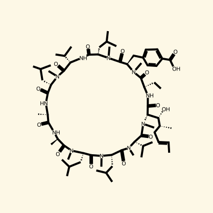 C/C=C/C[C@@H](C)[C@@H](O)[C@H]1C(=O)N[C@@H](CC)C(=O)N(C)[C@H](Cc2ccc(C(=O)O)cc2)C(=O)N(C)[C@@H](CC(C)C)C(=O)N[C@@H](C(C)C)C(=O)N(C)[C@@H](CC(C)C)C(=O)N[C@@H](C)C(=O)N[C@H](C)C(=O)N(C)[C@@H](CC(C)C)C(=O)N(C)[C@@H](CC(C)C)C(=O)N(C)[C@@H](C(C)C)C(=O)N1C